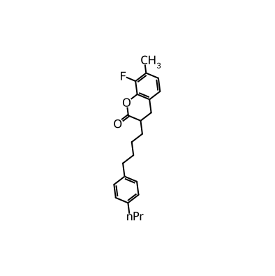 CCCc1ccc(CCCCC2Cc3ccc(C)c(F)c3OC2=O)cc1